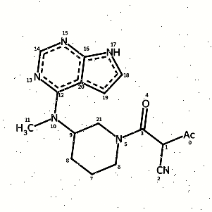 CC(=O)C(C#N)C(=O)N1CCCC(N(C)c2ncnc3[nH]ccc23)C1